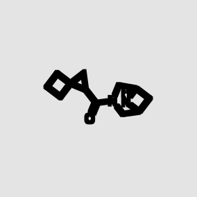 O=C(C1CC12CCC2)N1CC2CC(C1)N2